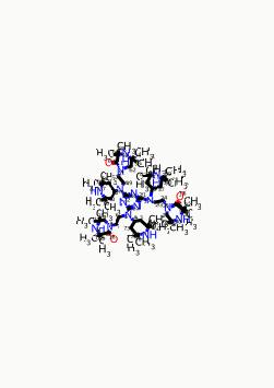 CC1(C)CC(N(CCN2CC(C)(C)NC(C)(C)C2=O)c2nc(N(CCN3CC(C)(C)NC(C)(C)C3=O)C3CC(C)(C)NC(C)(C)C3)nc(N(CCN3CC(C)(C)NC(C)(C)C3=O)C3CC(C)(C)NC(C)(C)C3)n2)CC(C)(C)N1